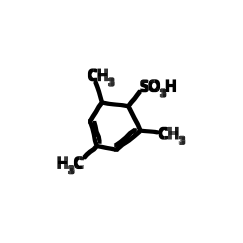 CC1=CC(C)C(S(=O)(=O)O)C(C)=C1